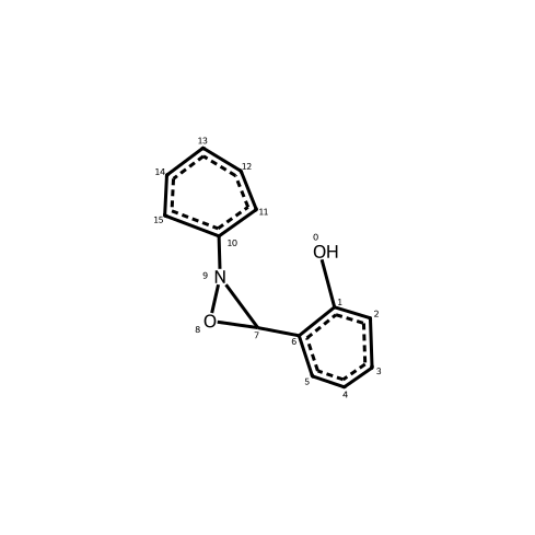 Oc1ccccc1C1ON1c1ccccc1